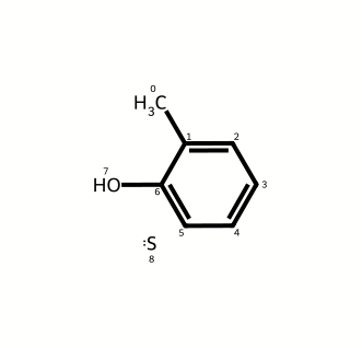 Cc1ccccc1O.[S]